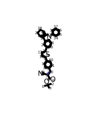 CC(C)(C)OC(=O)/C(C#N)=C/c1ccc(-c2ccc(-c3ccc4c(c3)C3C5CCC(C5)C3N4c3ccccc3)s2)cc1